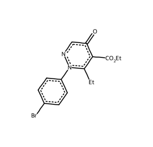 CCOC(=O)c1c(CC)n(-c2ccc(Br)cc2)ncc1=O